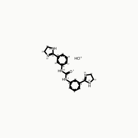 Cl.O=C(Nc1cccc(C2=NCCN2)c1)Nc1cccc(C2=NCCN2)c1